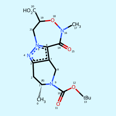 C[C@@H]1Cc2nn3c(c2CN1C(=O)OC(C)(C)C)C(=O)N(C)OC(C(=O)O)C3